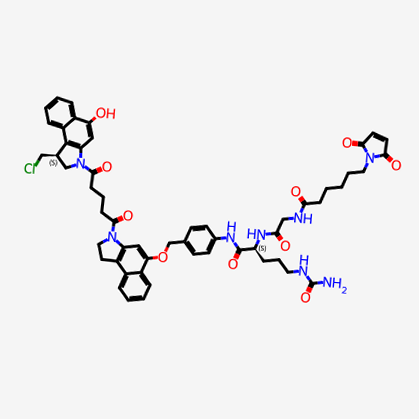 NC(=O)NCCC[C@H](NC(=O)CNC(=O)CCCCCN1C(=O)C=CC1=O)C(=O)Nc1ccc(COc2cc3c(c4ccccc24)CCN3C(=O)CCCC(=O)N2C[C@@H](CCl)c3c2cc(O)c2ccccc32)cc1